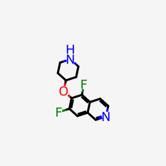 Fc1cc2cnccc2c(F)c1OC1CCNCC1